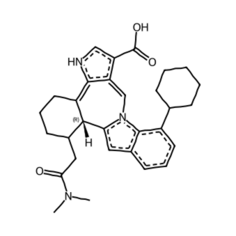 CN(C)C(=O)CC1CCCC2=c3[nH]cc(C(=O)O)c3=Cn3c(cc4cccc(C5CCCCC5)c43)[C@@H]21